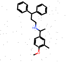 COc1ccc(C(C)NCCC(c2ccccc2)c2ccccc2)cc1C